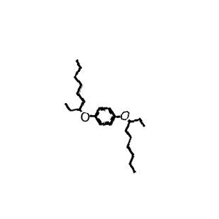 CCCCCCC(CC)Oc1ccc(OC(CC)CCCCCC)cc1